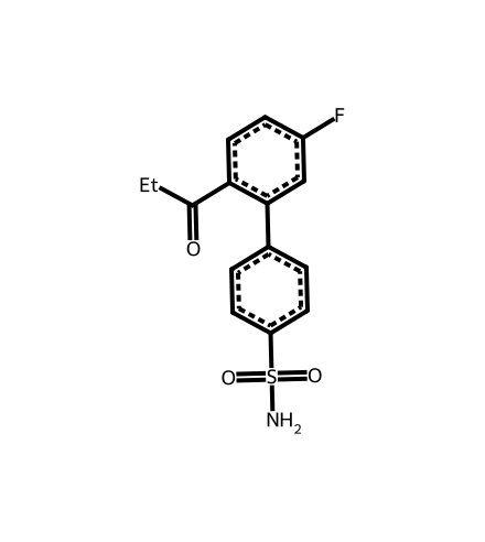 CCC(=O)c1ccc(F)cc1-c1ccc(S(N)(=O)=O)cc1